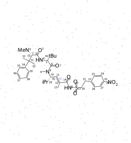 CN[C@H](C(=O)NC(C(=O)N(C)[C@H](/C=C(\C)C(=O)NS(=O)(=O)CCc1ccc([N+](=O)[O-])cc1)C(C)C)C(C)(C)C)C(C)(C)c1ccccc1